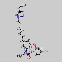 Cn1c(=O)n(C2CCC(=O)NC2=O)c2ccc(CCCCCCCn3cc(CC(=O)O)cn3)cc21